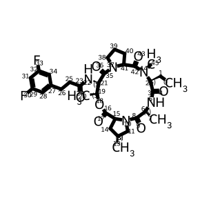 CC[C@H]1C(=O)N[C@@H](C)C(=O)N2C[C@@H](C)CC2C(=O)O[C@@H](C)[C@H](NC(=O)CCc2cc(F)cc(F)c2)C(=O)N2CCCC2C(=O)N1C